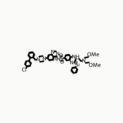 COCCN(CCOC)CC[C@H](CSc1ccccc1)Nc1ccc(S(=O)(=O)Nc2ncnc3cc(N4CCN(Cc5ccccc5-c5ccc(Cl)cc5)CC4)ccc23)cc1[N+](=O)[O-]